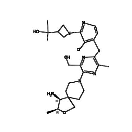 Cc1nc(N2CCC3(CC2)CO[C@@H](C)[C@H]3N)c(CO)nc1Sc1ccnc(N2CC(C(C)(C)O)C2)c1Cl